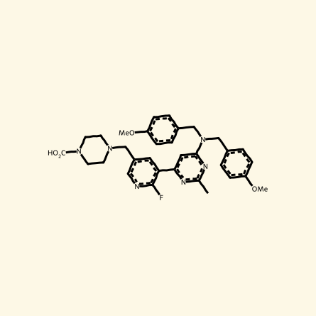 COc1ccc(CN(Cc2ccc(OC)cc2)c2cc(-c3cc(CN4CCN(C(=O)O)CC4)cnc3F)nc(C)n2)cc1